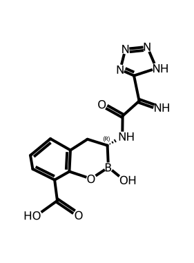 N=C(C(=O)N[C@H]1Cc2cccc(C(=O)O)c2OB1O)c1nnn[nH]1